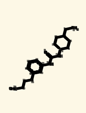 NCC1CCN(NC(=O)Nc2cccc(OCCC=O)c2)CC1